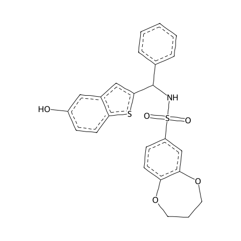 O=S(=O)(NC(c1ccccc1)c1cc2cc(O)ccc2s1)c1ccc2c(c1)OCCCO2